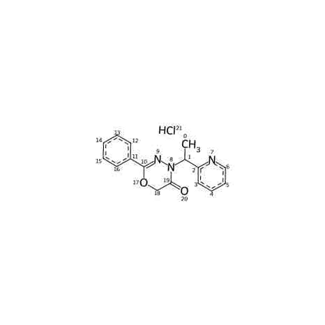 CC(c1ccccn1)N1N=C(c2ccccc2)OCC1=O.Cl